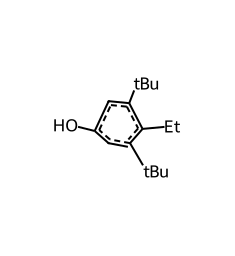 [CH2]Cc1c(C(C)(C)C)cc(O)cc1C(C)(C)C